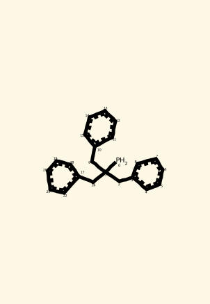 PC(Cc1ccccc1)(Cc1ccccc1)Cc1ccccc1